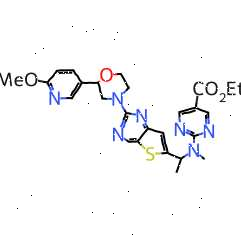 CCOC(=O)c1cnc(N(C)C(C)c2cc3nc(N4CCOC(c5ccc(OC)nc5)C4)ncc3s2)nc1